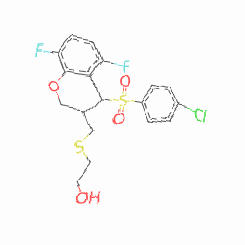 O=S(=O)(c1ccc(Cl)cc1)C1c2c(F)ccc(F)c2OCC1CSCCO